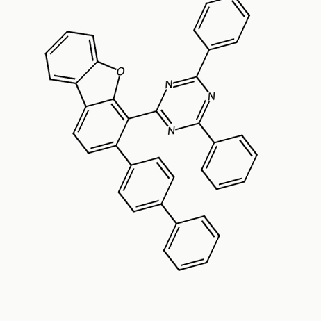 c1ccc(-c2ccc(-c3ccc4c(oc5ccccc54)c3-c3nc(-c4ccccc4)nc(-c4ccccc4)n3)cc2)cc1